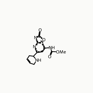 COC(=O)Nc1cc(C2CC=CCN2)nc2nc(=O)on12